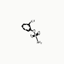 NS(=O)(=O)Oc1ccccc1Cl